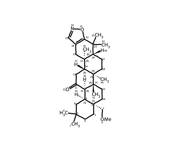 COC[C@]12CCC(C)(C)C[C@H]1[C@H]1C(=O)C[C@@H]3[C@@]4(C)Cc5cnoc5C(C)(C)[C@@H]4CC[C@@]3(C)[C@]1(C)CC2